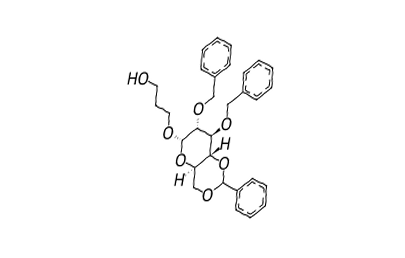 OCCCO[C@H]1O[C@@H]2COC(c3ccccc3)O[C@H]2[C@H](OCc2ccccc2)[C@H]1OCc1ccccc1